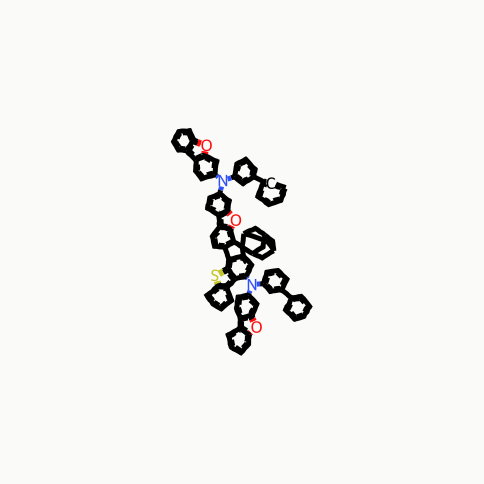 c1ccc(-c2cccc(N(c3ccc4c(c3)oc3ccccc34)c3ccc4c(c3)oc3c5c(ccc34)-c3c(cc(N(c4cccc(-c6ccccc6)c4)c4ccc6c(c4)oc4ccccc46)c4c3sc3ccccc34)C53C4CC5CC(C4)CC3C5)c2)cc1